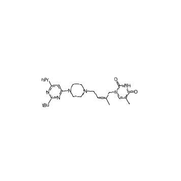 CCCc1cc(N2CCN(CC=C(C)Cn3cc(C)c(=O)[nH]c3=O)CC2)nc(C(C)(C)C)n1